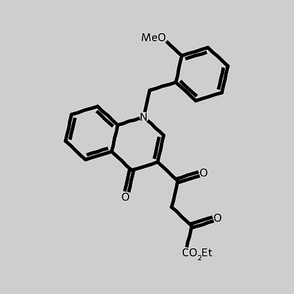 CCOC(=O)C(=O)CC(=O)c1cn(Cc2ccccc2OC)c2ccccc2c1=O